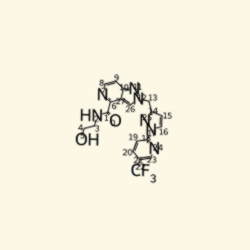 O=C(NCCO)c1nccc2nn(Cc3ccn(-c4ccc(C(F)(F)F)cn4)n3)cc12